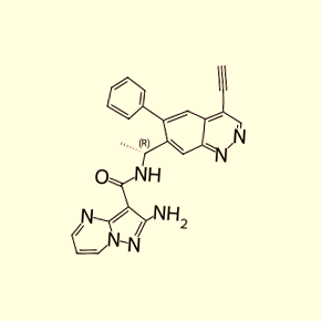 C#Cc1cnnc2cc([C@@H](C)NC(=O)c3c(N)nn4cccnc34)c(-c3ccccc3)cc12